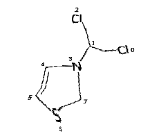 ClC(Cl)N1C=CSC1